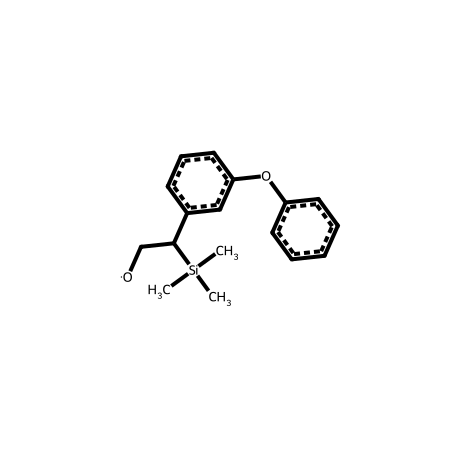 C[Si](C)(C)C(C[O])c1cccc(Oc2ccccc2)c1